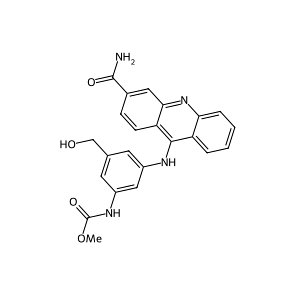 COC(=O)Nc1cc(CO)cc(Nc2c3ccccc3nc3cc(C(N)=O)ccc23)c1